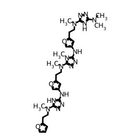 CN(C)c1nnc(N(C)CCc2cc(Nc3nnc(N(C)CCc4cc(Nc5nnc(N(C)CCc6ccco6)[nH]5)co4)n3C)co2)[nH]1